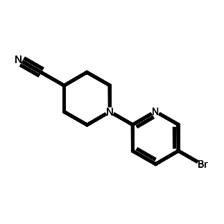 N#CC1CCN(c2ccc(Br)cn2)CC1